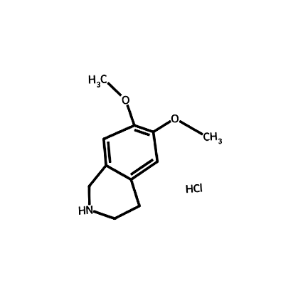 COc1cc2c(cc1OC)CNCC2.Cl